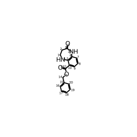 O=C1CCNc2c(cccc2C(=O)OCc2ccccc2)N1